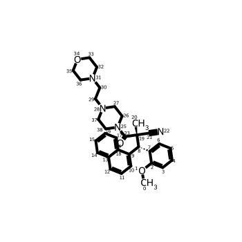 COc1ccccc1[C@H](c1cccc2ccccc12)[C@@](C)(C#N)C(=O)N1CCN(CCN2CCOCC2)CC1